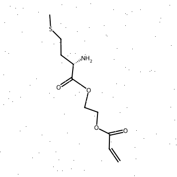 C=CC(=O)OCCOC(=O)[C@@H](N)CCSC